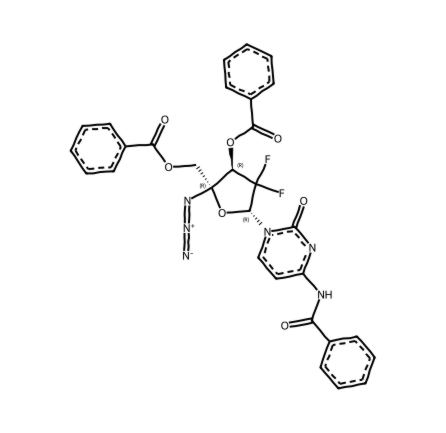 [N-]=[N+]=N[C@]1(COC(=O)c2ccccc2)O[C@@H](n2ccc(NC(=O)c3ccccc3)nc2=O)C(F)(F)[C@@H]1OC(=O)c1ccccc1